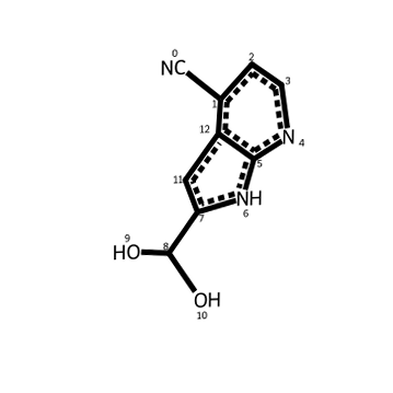 N#Cc1ccnc2[nH]c(C(O)O)cc12